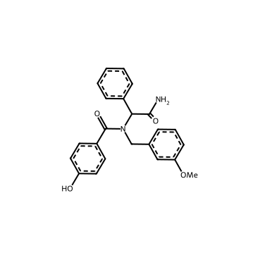 COc1cccc(CN(C(=O)c2ccc(O)cc2)C(C(N)=O)c2ccccc2)c1